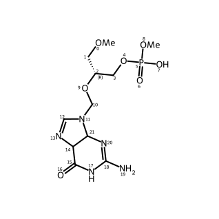 COC[C@H](COP(=O)(O)OC)OCN1C=NC2C(=O)NC(N)=NC21